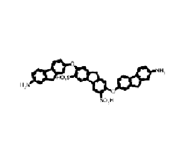 Nc1ccc2c(c1)Cc1cc(Oc3cc4c(cc3S(=O)(=O)O)-c3cc(S(=O)(=O)O)c(Oc5ccc6c(c5)Cc5cc(N)ccc5-6)cc3C4)ccc1-2